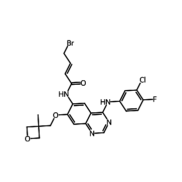 CC1(COc2cc3ncnc(Nc4ccc(F)c(Cl)c4)c3cc2NC(=O)/C=C/CBr)COC1